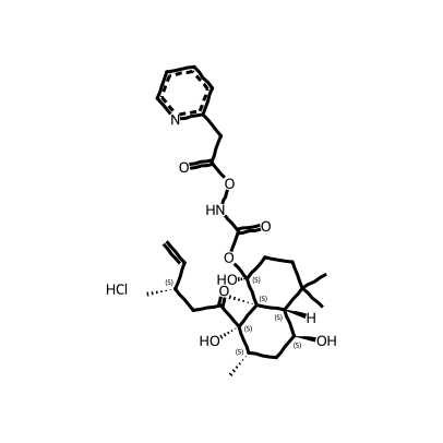 C=C[C@@H](C)CC(=O)[C@]1(O)[C@@H](C)C[C@H](O)[C@H]2C(C)(C)CC[C@](O)(OC(=O)NOC(=O)Cc3ccccn3)[C@@]21C.Cl